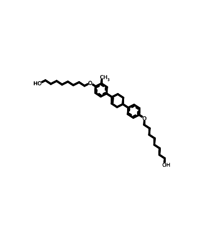 Cc1cc(C2=CCC(c3ccc(OCCCCCCCCO)cc3)CC2)ccc1OCCCCCCCCO